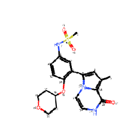 Cc1cc(-c2cc(NS(C)(=O)=O)ccc2OC2CCOCC2)n2cc[nH]c(=O)c12